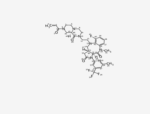 C=CC(=O)N1CCN2CCN(CCN3C[C@H]4CC(=O)N(c5cc(C(F)(F)F)cc(C)n5)[C@@H]4C(=O)N(C)c4cccc(F)c43)C(=O)[C@H]2C1